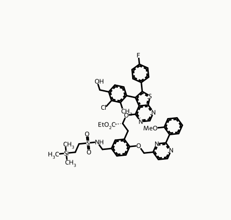 CCOC(=O)[C@@H](Cc1cc(CNS(=O)(=O)CC[Si](C)(C)C)ccc1OCc1ccnc(-c2ccccc2OC)n1)Oc1ncnc2sc(-c3ccc(F)cc3)c(-c3ccc(CO)c(Cl)c3C)c12